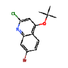 CC(C)(C)Oc1cc(Cl)nc2cc(Br)ccc12